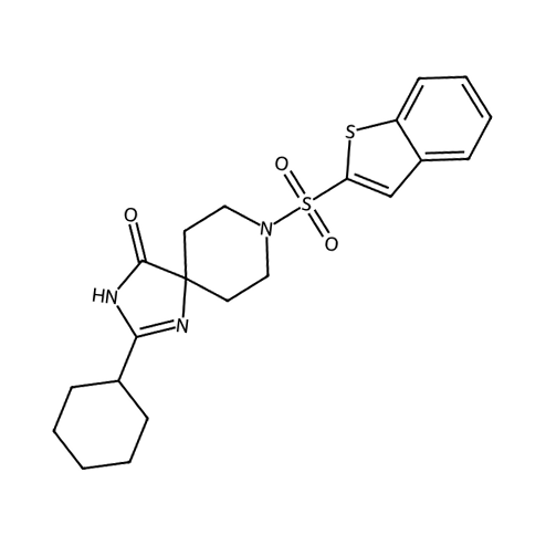 O=C1NC(C2CCCCC2)=NC12CCN(S(=O)(=O)c1cc3ccccc3s1)CC2